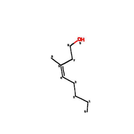 CCCC/C=C(/C)CCO